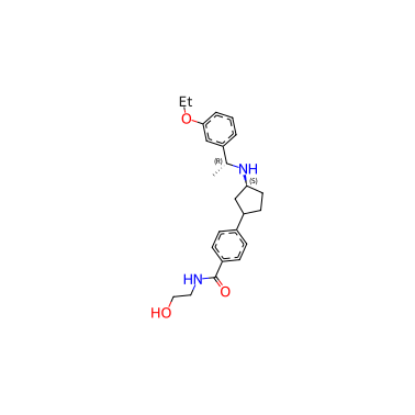 CCOc1cccc([C@@H](C)N[C@H]2CCC(c3ccc(C(=O)NCCO)cc3)C2)c1